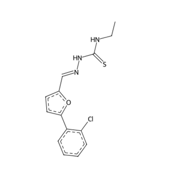 CCNC(=S)NN=Cc1ccc(-c2ccccc2Cl)o1